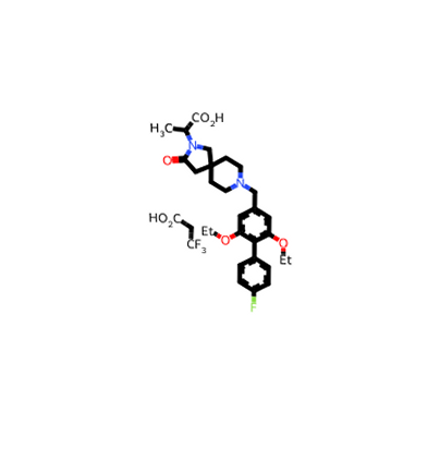 CCOc1cc(CN2CCC3(CC2)CC(=O)N(C(C)C(=O)O)C3)cc(OCC)c1-c1ccc(F)cc1.O=C(O)CC(F)(F)F